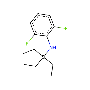 CC[Si](CC)(CC)Nc1c(F)cccc1F